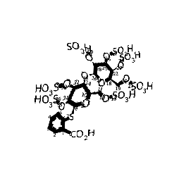 O=C(O)c1ccccc1S[C@@H]1O[C@H](COS(=O)(=O)O)[C@@H](O[C@H]2O[C@H](COS(=O)(=O)O)[C@@H](OS(=O)(=O)O)[C@H](OS(=O)(=O)O)[C@H]2OS(=O)(=O)O)[C@H](OS(=O)(=O)O)[C@H]1OS(=O)(=O)O